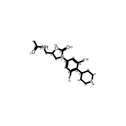 CC(=O)NCC1CN(c2cc(F)c(C3CCSCC3)c(F)c2)C(=O)O1